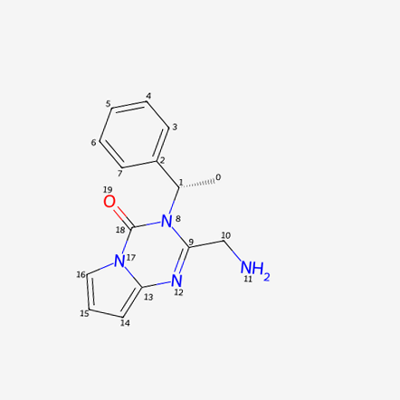 C[C@@H](c1ccccc1)n1c(CN)nc2cccn2c1=O